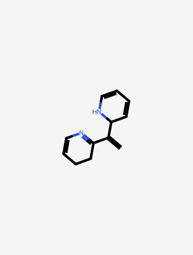 C=C(C1=NC=CCC1)C1C=CC=CN1